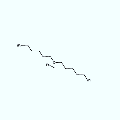 CC(C)CCCCCOCCCCCC(C)C.CCC